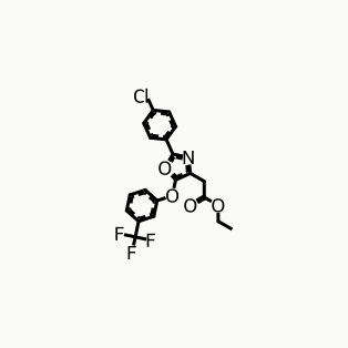 CCOC(=O)Cc1nc(-c2ccc(Cl)cc2)oc1Oc1cccc(C(F)(F)F)c1